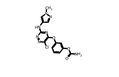 Cn1cc(Nc2nnc(Cl)c(Oc3cccc(OC(N)=O)c3)n2)cn1